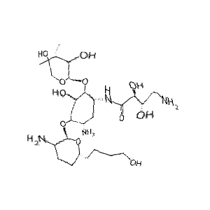 C[C@@H]1C(O)[C@@H](OC2C(O)C(O[C@H]3O[C@H](CCCCO)CCC3N)[C@@H](N)C[C@H]2NC(=O)[C@@H](O)[C@@H](O)CN)OCC1(C)O